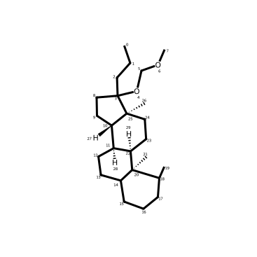 CCCC1(OCOC)CC[C@H]2[C@@H]3CCC4CCCC(C)[C@]4(C)[C@@H]3CC[C@@]21C